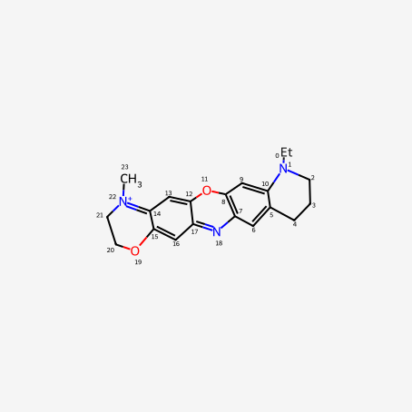 CCN1CCCc2cc3c(cc21)Oc1cc2c(cc1=N3)OCC[N+]=2C